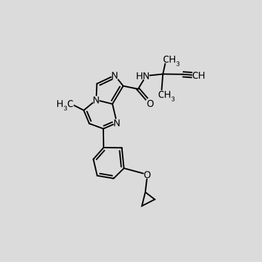 C#CC(C)(C)NC(=O)c1ncn2c(C)cc(-c3cccc(OC4CC4)c3)nc12